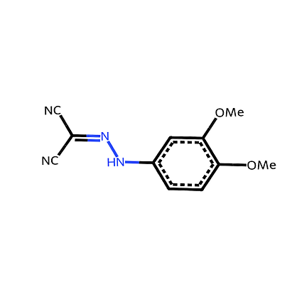 COc1ccc(NN=C(C#N)C#N)cc1OC